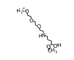 COCCOCCOCCNCCCC(O)OC